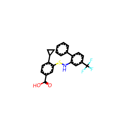 O=C(O)c1ccc(C2CC2)c(SNc2cc(C(F)(F)F)ccc2-c2ccccc2)c1